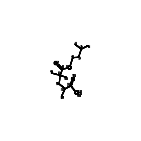 CC(C)CCOC(=O)C(C)(C)CC(C)C(=O)O